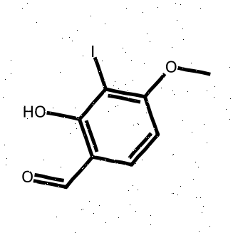 COc1ccc(C=O)c(O)c1I